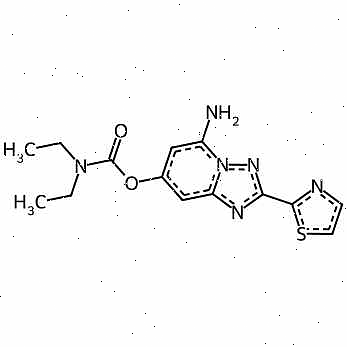 CCN(CC)C(=O)Oc1cc(N)n2nc(-c3nccs3)nc2c1